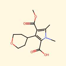 COC(=O)c1c(C2CCOCC2)c(C(=O)O)n(C)c1C